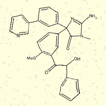 COc1ccc(C2(c3cccc(-c4cccnc4)c3)N=C(N)N(C)C2=O)cc1C(=O)C(O)c1ccccc1